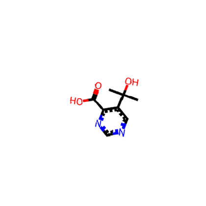 CC(C)(O)c1cncnc1C(=O)O